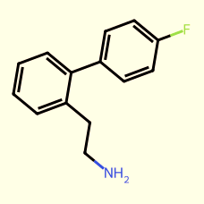 NCCc1ccccc1-c1ccc(F)cc1